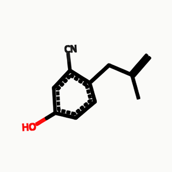 C=C(C)Cc1ccc(O)cc1C#N